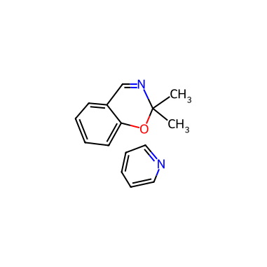 CC1(C)N=Cc2ccccc2O1.c1ccncc1